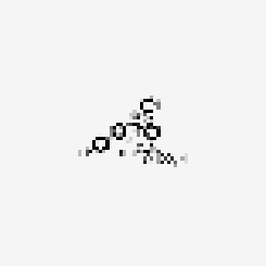 CC(C)(C)OC(=O)N(CC(=O)O)c1cccc(C(N)(Cc2ccc(-c3ccc(Cl)cc3)cc2)S(=O)(=O)c2cccnc2)n1